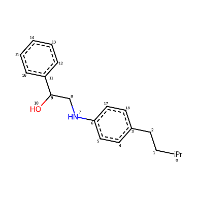 CC(C)CCc1ccc(NCC(O)c2ccccc2)cc1